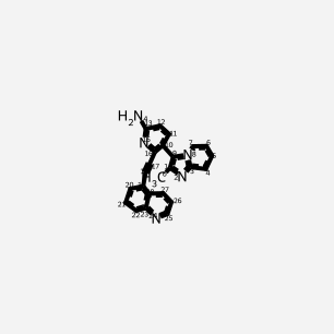 Cc1nc2ccccn2c1-c1ccc(N)nc1C#Cc1cccc2ncccc12